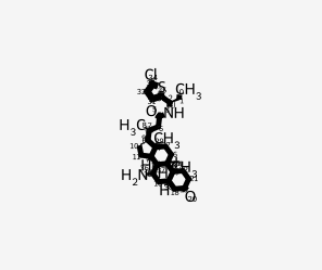 CC[C@@H](NC(=O)C[C@@H](C)[C@H]1CC[C@H]2[C@@H]3[C@H](N)C[C@@H]4CC(=O)CC[C@]4(C)[C@H]3CC[C@]12C)c1ccc(Cl)s1